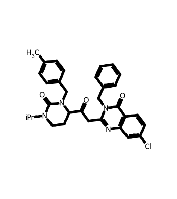 Cc1ccc(CN2C(=O)N(C(C)C)CCC2C(=O)Cc2nc3cc(Cl)ccc3c(=O)n2Cc2ccccc2)cc1